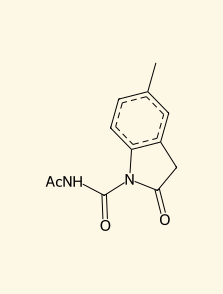 CC(=O)NC(=O)N1C(=O)Cc2cc(C)ccc21